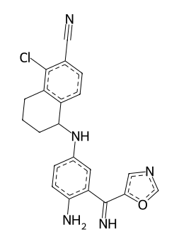 N#Cc1ccc2c(c1Cl)CCCC2Nc1ccc(N)c(C(=N)c2cnco2)c1